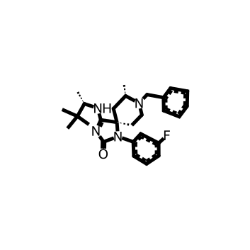 C[C@H](NC1=NC(=O)N(c2cccc(F)c2)[C@@]12CCN(Cc1ccccc1)[C@@H](C)C2)C(C)(C)C